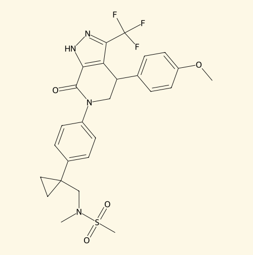 COc1ccc(C2CN(c3ccc(C4(CN(C)S(C)(=O)=O)CC4)cc3)C(=O)c3[nH]nc(C(F)(F)F)c32)cc1